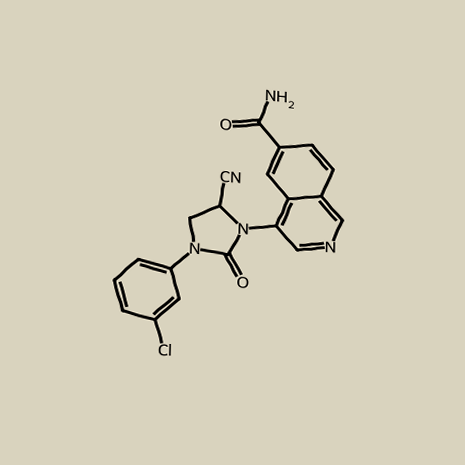 N#CC1CN(c2cccc(Cl)c2)C(=O)N1c1cncc2ccc(C(N)=O)cc12